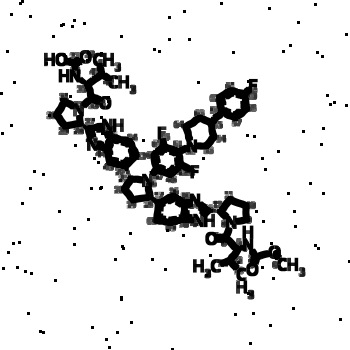 COC(=O)N[C@H](C(=O)N1CCC[C@H]1c1nc2cc([C@H]3CC[C@H](c4ccc5[nH]c([C@@H]6CCCN6C(=O)[C@@H](NC(=O)O)C(C)C)nc5c4)N3c3cc(F)c(N4CCC(c5ccc(F)cc5)CC4)c(F)c3)ccc2[nH]1)C(C)C